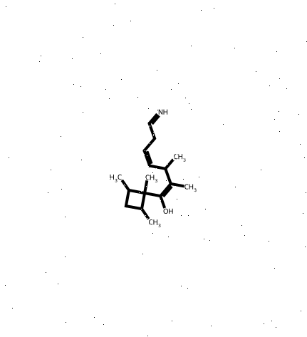 C/C(=C(\O)C1(C)C(C)CC1C)C(C)/C=C\CC=N